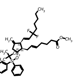 C=C1C[C@@H](O[Si](c2ccccc2)(c2ccccc2)C(C)(C)C)[C@H](CC=CCCCC(=O)OC)[C@@H]1C=CC(F)(F)CCCCC